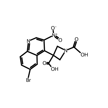 O=C(O)N1CC(C(=O)O)(c2c([N+](=O)[O-])cnc3ccc(Br)cc23)C1